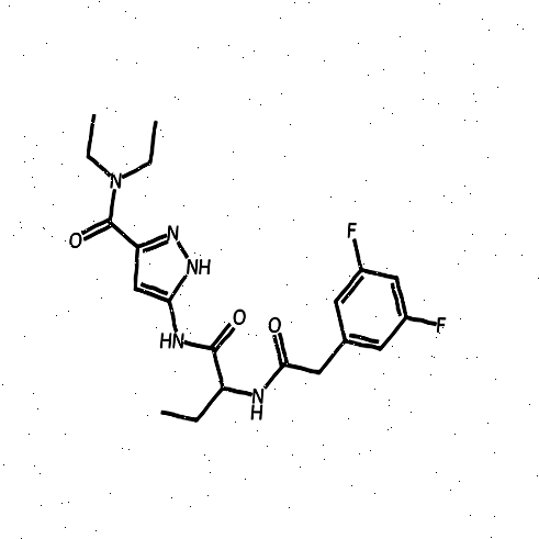 CCC(NC(=O)Cc1cc(F)cc(F)c1)C(=O)Nc1cc(C(=O)N(CC)CC)n[nH]1